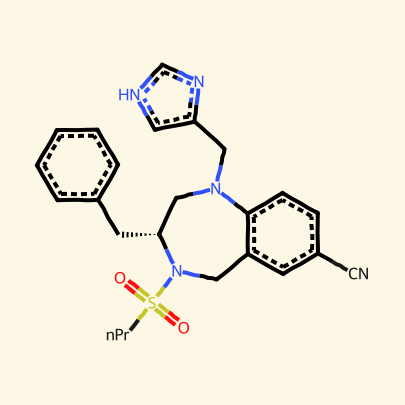 CCCS(=O)(=O)N1Cc2cc(C#N)ccc2N(Cc2c[nH]cn2)C[C@H]1Cc1ccccc1